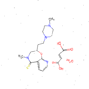 CN1CCN(CCC2CN(C)C(=S)c3cccnc3O2)CC1.O.O=C(O)C=CC(=O)O